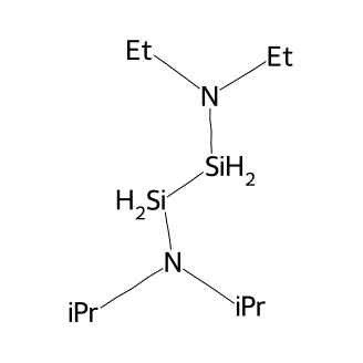 CCN(CC)[SiH2][SiH2]N(C(C)C)C(C)C